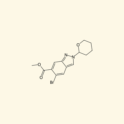 COC(=O)c1cc2nn(C3CCCCO3)cc2cc1Br